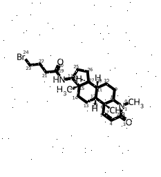 CN1C(=O)C=C[C@@]2(C)C1CC[C@@H]1[C@H]2CC[C@]2(C)C(NC(=O)CCCBr)CC[C@@H]12